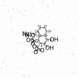 O=S(=O)([O-])c1c(O)c(O)c2ccccc2c1S(=O)(=O)[O-].[Na+].[Na+]